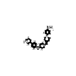 Nc1ccc(N2CCC(CN3CCC(Oc4ccc(C5CCCNC5)cc4)CC3)CC2)cc1